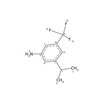 CC(C)c1cc(N)cc(C(F)(F)F)c1